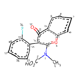 CN(C(=O)O)c1oc2ccccc2c(=O)c1-c1ccccc1F